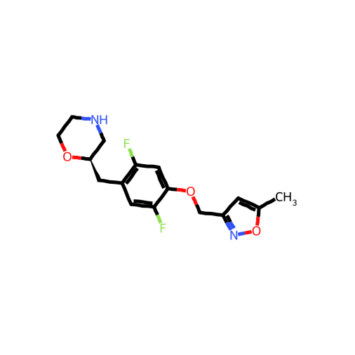 Cc1cc(COc2cc(F)c(C[C@@H]3CNCCO3)cc2F)no1